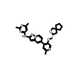 Cc1cc(-c2ccn3nc(Nc4cc(C)nc(C)n4)cc3c2)c(OC[C@H]2CC3(CCCC3)CO2)cn1